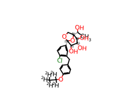 [2H]C([2H])([2H])C([2H])([2H])Oc1ccc(Cc2cc([C@]34OC[C@](C(C)O)(O3)[C@@H](O)[C@H](O)[C@H]4O)ccc2Cl)cc1